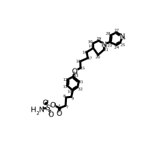 NS(=O)(=O)OC(=O)CCCc1ccc(OCCCCC2CCN(c3ccncc3)CC2)cc1